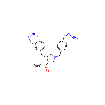 COC(=O)c1cn(Cc2ccc(/C=N\N)cc2)cc1Cc1cccc(/C=N\N)c1